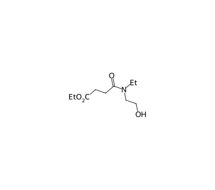 CCOC(=O)CCC(=O)N(CC)CCO